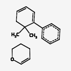 C1=COCCC1.CC1(C)CC=CC=C1c1ccccc1